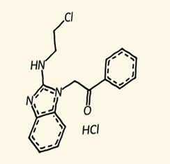 Cl.O=C(Cn1c(NCCCl)nc2ccccc21)c1ccccc1